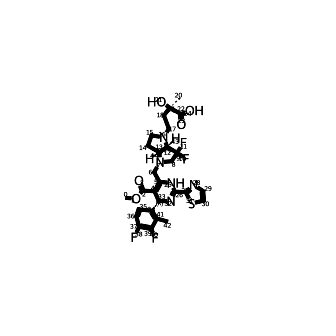 COC(=O)C1=C(CN2CC(F)(F)[C@H]3[C@@H]2CCN3CC[C@@](C)(O)C(=O)O)NC(c2nccs2)=N[C@@H]1c1ccc(F)c(F)c1C